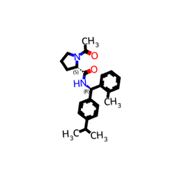 CC(=O)N1CCC[C@H]1C(=O)N[C@H](c1ccc(C(C)C)cc1)c1ccccc1C